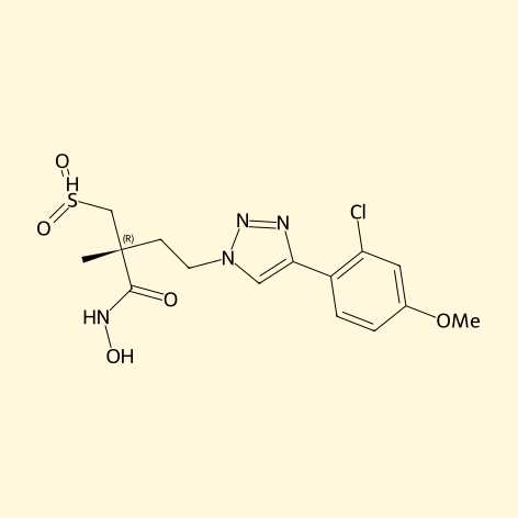 COc1ccc(-c2cn(CC[C@@](C)(C[SH](=O)=O)C(=O)NO)nn2)c(Cl)c1